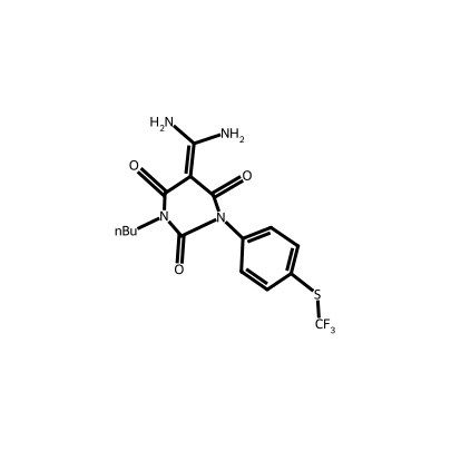 CCCCN1C(=O)C(=C(N)N)C(=O)N(c2ccc(SC(F)(F)F)cc2)C1=O